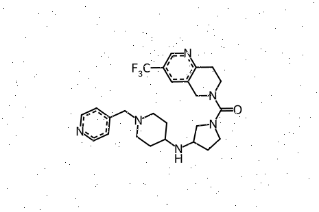 O=C(N1CCc2ncc(C(F)(F)F)cc2C1)N1CCC(NC2CCN(Cc3ccncc3)CC2)C1